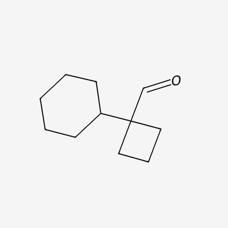 O=CC1(C2CCCCC2)CCC1